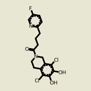 O=C(CCCc1ccc(F)cn1)N1CCc2c(Cl)c(O)c(O)c(Cl)c2C1